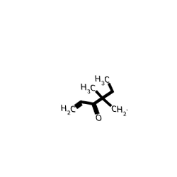 [CH2]C(C)(CC)C(=O)C=C